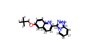 CC(C)(C)COc1ccc2nc(-c3nnc4ccccn34)ccc2c1